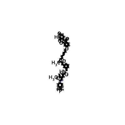 COc1cnc(C(=O)NCc2cccc(CC(=O)N(C)CCCCCCCOc3ccc4c(c3)C(=O)N(C3CCC(=O)NC3=O)C4=O)c2)cc1/C=C/[C@H]1CC[C@H](C(F)(F)F)CC1